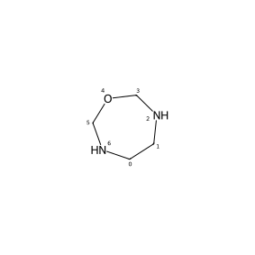 C1CNCOCN1